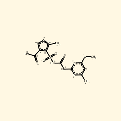 COc1cc(C)nc(NC(=O)NS(=O)(=O)c2c(C(=O)O)nsc2C)n1